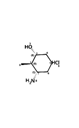 C[C@H]1[C@H](O)CCC[C@@H]1N.Cl